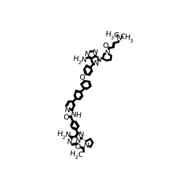 C=CC(=O)N1CCC[C@H]1c1nc(-c2ccc(C(=O)Nc3cc(-c4ccc(-c5cccc(Oc6ccc(-c7nn([C@@H]8CCCN(C(=O)/C=C/CN(C)C)C8)c8ncnc(N)c78)cc6)c5)cc4)ccn3)cc2)c2c(N)nccn12